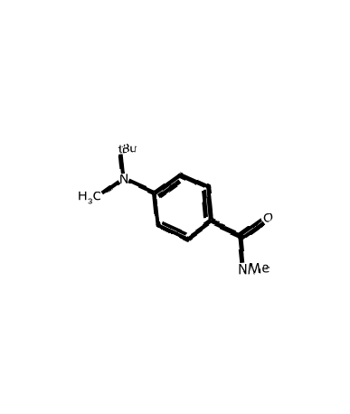 CNC(=O)c1ccc(N(C)C(C)(C)C)cc1